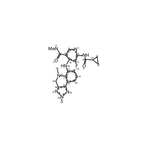 CNC(=O)c1cnc(NC(=O)C2CC2)c(F)c1Nc1cccc2c1N(C)Cc1nn(C)nc1-2